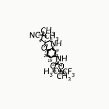 CC(C)(C#N)C[C@H]1CNc2cc(NC(=O)OC(C)(C)C(F)(F)F)ccc2O1